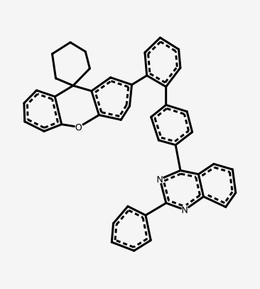 c1ccc(-c2nc(-c3ccc(-c4ccccc4-c4ccc5c(c4)C4(CCCCC4)c4ccccc4O5)cc3)c3ccccc3n2)cc1